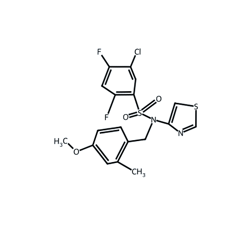 COc1ccc(CN(c2cscn2)S(=O)(=O)c2cc(Cl)c(F)cc2F)c(C)c1